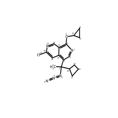 CC(N=[N+]=[N-])(c1cnc(OC2CC2)c2cnc(Cl)cc12)C1CCC1